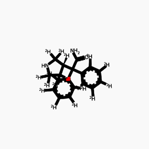 [2H]c1c([2H])c([2H])c(C(C(N)=O)(c2c([2H])c([2H])c([2H])c([2H])c2[2H])[C@@]2([2H])C([2H])([2H])NC([2H])([2H])C2([2H])[2H])c([2H])c1[2H]